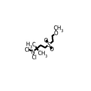 COCCS(=O)(=O)CCC(C)(C)N(Cl)Cl